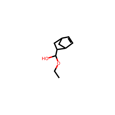 CCOC(O)C1CC2C=CC1C2